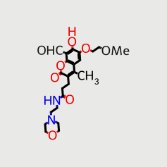 COCCOc1cc2c(C)c(CCC(=O)NCCN3CCOCC3)c(=O)oc2c(C=O)c1O